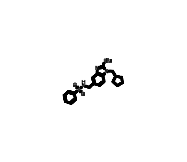 CC(C)(C)c1nc2cc(CNS(=O)(=O)c3ccccc3)ccc2n1CC1CCCC1